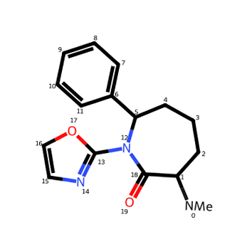 CNC1CCCC(c2ccccc2)N(c2ncco2)C1=O